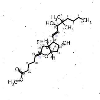 CCCCC(C)(C)[C@H](O)/C=C/[C@@H]1[C@@H]2[C@H](C[C@H]1O)O/C(=C\CCCC(=O)OC)[C@@H]2F